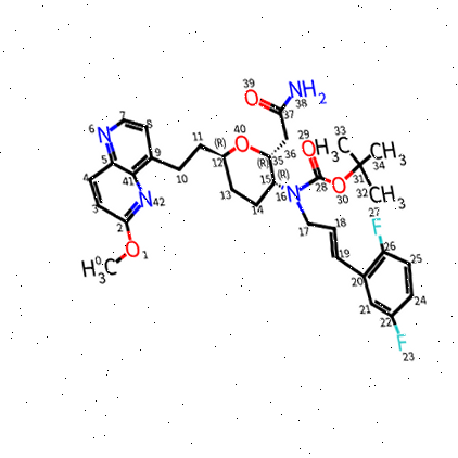 COc1ccc2nccc(CC[C@@H]3CC[C@@H](N(CC=Cc4cc(F)ccc4F)C(=O)OC(C)(C)C)[C@@H](CC(N)=O)O3)c2n1